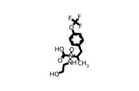 CC(Cc1ccc(OC(F)(F)F)cc1)[N+]([O-])(NCCO)C(=O)O